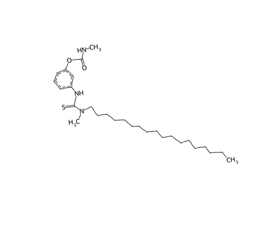 CCCCCCCCCCCCCCCCCCN(C)C(=S)Nc1cccc(OC(=O)NC)c1